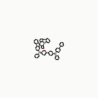 c1ccc(-c2ccc(N(c3ccccc3)c3ccc(-c4ccc(N(c5ccccc5)c5ccc6c(c5)C5(c7ccccc7-6)c6ccccc6-n6c7ccccc7c7cccc5c76)cc4)cc3)cc2)cc1